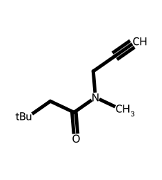 C#CCN(C)C(=O)CC(C)(C)C